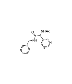 CC(=O)NC(C(=O)NCc1ccccc1)c1cncnc1